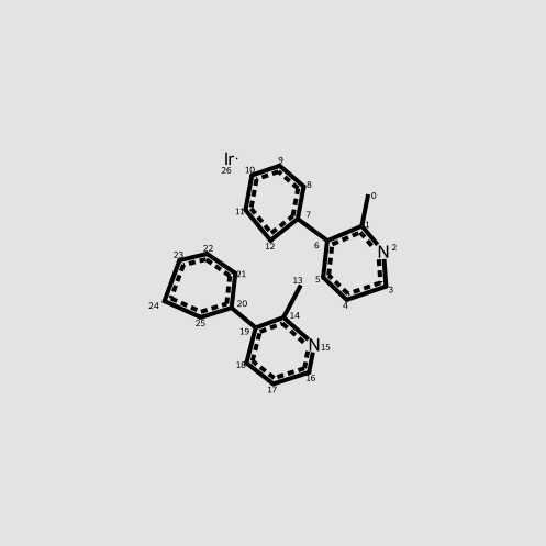 Cc1ncccc1-c1ccccc1.Cc1ncccc1-c1ccccc1.[Ir]